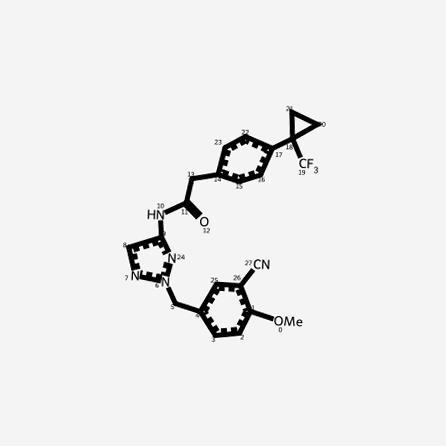 COc1ccc(Cn2ncc(NC(=O)Cc3ccc(C4(C(F)(F)F)CC4)cc3)n2)cc1C#N